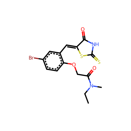 CCN(C)C(=O)COc1ccc(Br)cc1C=C1SC(=S)NC1=O